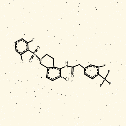 Cc1ccc2c(c1NC(=O)Cc1ccc(C(F)(F)F)c(F)c1)CCN(S(=O)(=O)c1c(F)cccc1F)C2